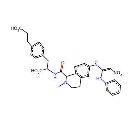 CN1CCc2cc(NC(=C[N+](=O)[O-])Nc3ccccc3)ccc2C1C(=O)NC(Cc1ccc(CCC(=O)O)cc1)C(=O)O